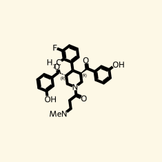 CNCCC(=O)N1C[C@H](C(=O)c2cccc(O)c2)C(c2cccc(F)c2C)[C@@H](C(=O)c2cccc(O)c2)C1